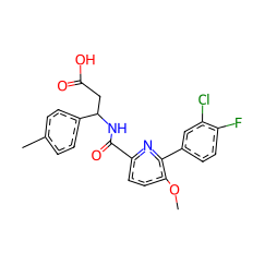 COc1ccc(C(=O)NC(CC(=O)O)c2ccc(C)cc2)nc1-c1ccc(F)c(Cl)c1